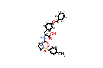 Cc1ccc(S(=O)(=O)N2CCC[C@H]2C(=O)N[C@@H](Cc2ccc(OCc3ccccc3)cc2)C(=O)O)cc1